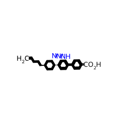 C=CCCC[C@H]1CC[C@H](c2ccc(-c3ccc(C(=O)O)cc3)cc2)CC1.[N-]=[N+]=N